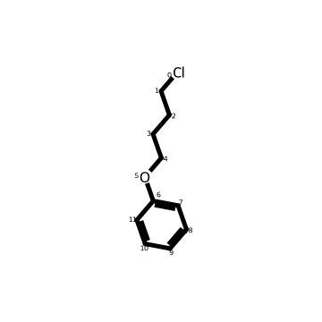 ClCCCCOc1c[c]ccc1